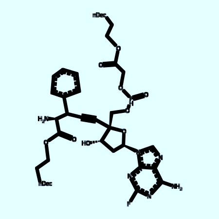 CCCCCCCCCCCCOC(=O)CO[PH](=O)OC[C@@]1(C#CC(c2ccccc2)[C@H](N)C(=O)OCCCCCCCCCCCC)O[C@@H](n2cnc3c(N)nc(F)nc32)C[C@@H]1O